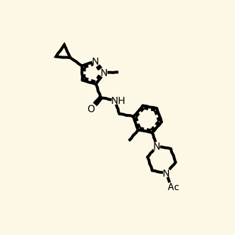 CC(=O)N1CCN(c2cccc(CNC(=O)c3cc(C4CC4)nn3C)c2C)CC1